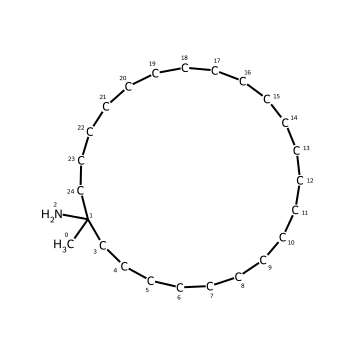 CC1(N)CCCCCCCCCCCCCCCCCCCCCC1